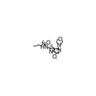 CCCCN(C)C(=O)Nc1nc2c(OC)cnc(N3CCOCC3)c2s1